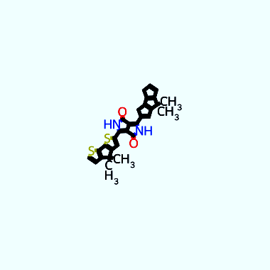 CC1(C)C2=C(CC=C2)C2=C1C=C(C1=C3C(=O)NC(c4cc5c(s4)-c4sccc4C5(C)C)=C3C(=O)N1)C2